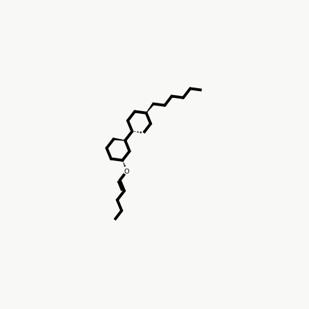 CCCC=CO[C@@H]1CCC[C@@H]([C@H]2CC[C@H](CCCCCC)CC2)C1